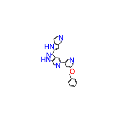 c1ccc(COc2cncc(-c3cc4c(-c5cc6cnccc6[nH]5)n[nH]c4cn3)c2)cc1